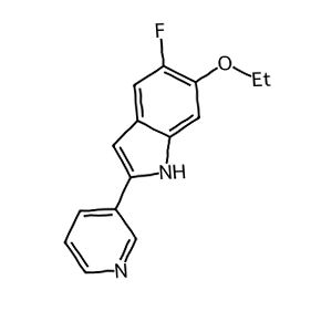 CCOc1cc2[nH]c(-c3cccnc3)cc2cc1F